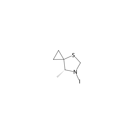 C[C@H]1N(I)CSC12CC2